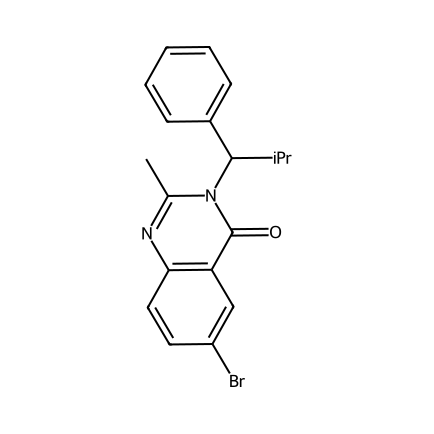 Cc1nc2ccc(Br)cc2c(=O)n1C(c1ccccc1)C(C)C